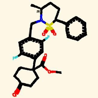 COC(=O)C1(c2cc(F)c(CN3[C@@H](C)CCC(c4ccccc4)S3(=O)=O)cc2F)CCC(=O)CC1